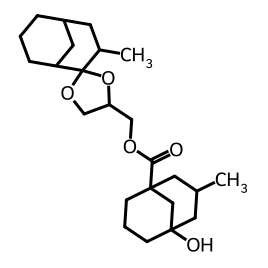 CC1CC2(O)CCCC(C(=O)OCC3COC4(O3)C(C)CC3CCCC4C3)(C1)C2